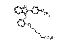 CCOC(=O)CCCCCOc1ccccc1Cn1c(-c2ccc(OC(F)(F)F)cc2)nc2ccccc21